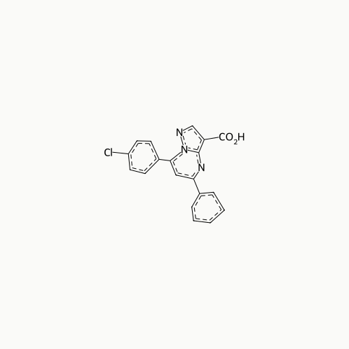 O=C(O)c1cnn2c(-c3ccc(Cl)cc3)cc(-c3ccccc3)nc12